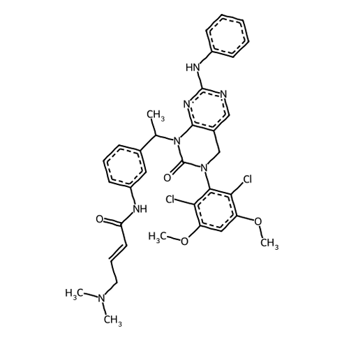 COc1cc(OC)c(Cl)c(N2Cc3cnc(Nc4ccccc4)nc3N(C(C)c3cccc(NC(=O)/C=C/CN(C)C)c3)C2=O)c1Cl